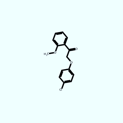 COc1ccccc1C(=O)COc1ccc(Cl)cc1